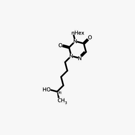 CCCCCCn1c(=O)cnn(CCCC[C@@H](C)O)c1=O